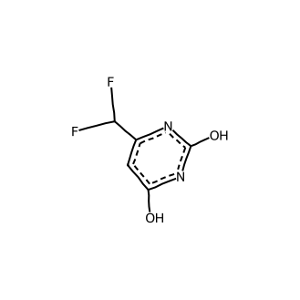 Oc1cc(C(F)F)nc(O)n1